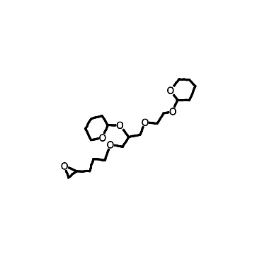 C1CCC(OCCOCC(COCCCC2CO2)OC2CCCCO2)OC1